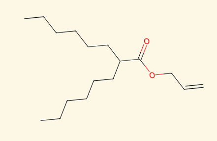 C=CCOC(=O)C(CCCCCC)CCCCCC